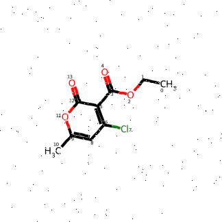 CCOC(=O)c1c(Cl)cc(C)oc1=O